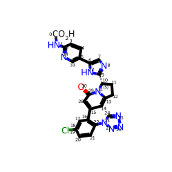 O=C(O)Nc1ccc(-c2cnc([C@@H]3CCc4cc(-c5cc(Cl)ccc5-n5cnnn5)cc(=O)n43)[nH]2)cn1